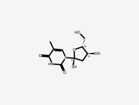 Cc1cn([C@@]2(S)C[C@H](O)[C@@H](CO)O2)c(=O)[nH]c1=O